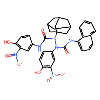 O=C(Nc1cccc2ccccc12)N(c1ccc(O)c([N+](=O)[O-])c1)N(C(=O)Nc1ccc(O)c([N+](=O)[O-])c1)C12CC3CC(CC(C3)C1)C2